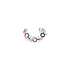 CCOC1CCC(C(F)(F)OC2CCC(C(F)(F)Oc3cc(F)c(OC(F)(F)F)c(F)c3)CO2)OC1